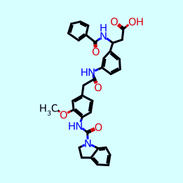 COc1cc(CC(=O)Nc2cccc(C(CC(=O)O)NC(=O)c3ccccc3)c2)ccc1NC(=O)N1CCc2ccccc21